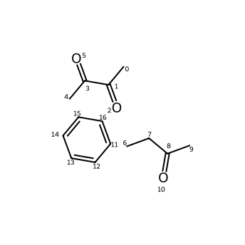 CC(=O)C(C)=O.CCC(C)=O.c1ccccc1